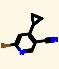 N#Cc1cnc(Br)cc1C1CC1